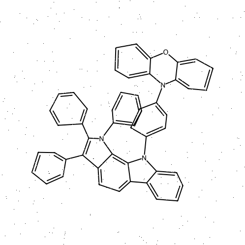 c1ccc(-c2c(-c3ccccc3)n(-c3ccccc3)c3c2ccc2c4ccccc4n(-c4ccc(N5c6ccccc6Oc6ccccc65)cc4)c23)cc1